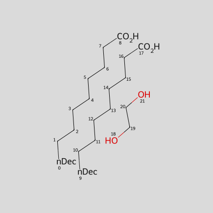 CCCCCCCCCCCCCCCCCC(=O)O.CCCCCCCCCCCCCCCCCC(=O)O.OCCO